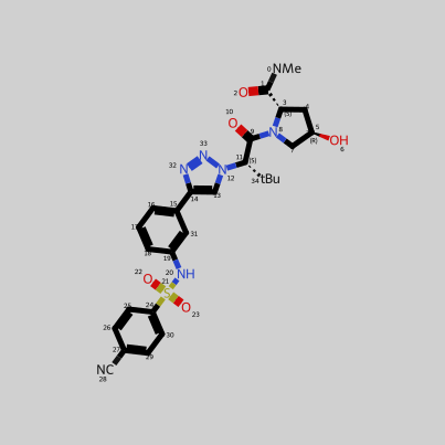 CNC(=O)[C@@H]1C[C@@H](O)CN1C(=O)[C@@H](n1cc(-c2cccc(NS(=O)(=O)c3ccc(C#N)cc3)c2)nn1)C(C)(C)C